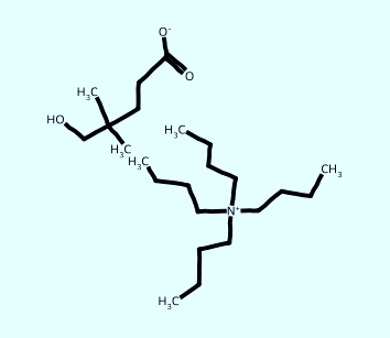 CC(C)(CO)CCC(=O)[O-].CCCC[N+](CCCC)(CCCC)CCCC